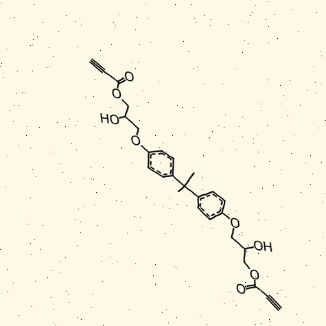 C#CC(=O)OCC(O)COc1ccc(C(C)(C)c2ccc(OCC(O)COC(=O)C#C)cc2)cc1